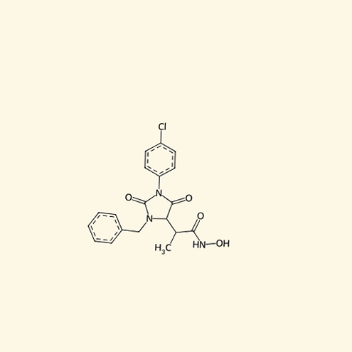 CC(C(=O)NO)C1C(=O)N(c2ccc(Cl)cc2)C(=O)N1Cc1ccccc1